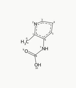 Cc1ncccc1NC(=O)O